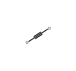 [O]C#CCl